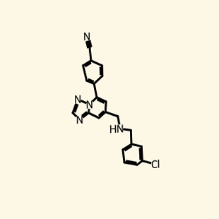 N#Cc1ccc(-c2cc(CNCc3cccc(Cl)c3)cc3ncnn23)cc1